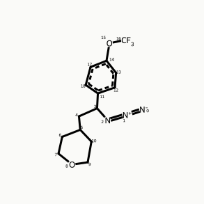 [N-]=[N+]=NC(CC1CCOCC1)c1ccc(OC(F)(F)F)cc1